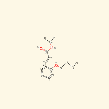 CCCCOc1ccccc1C=CC(=O)OC(C)C